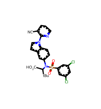 CC(C)(C)C(C(=O)O)N(c1ccc2c(ccn2-c2ncccc2C#N)c1)S(=O)(=O)c1cc(Cl)cc(Cl)c1